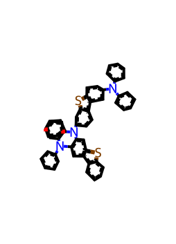 c1ccc(N(c2ccccc2)c2ccc3sc4cc(N(c5ccccc5)c5cc6sc7ccccc7c6cc5N(c5ccccc5)c5ccccc5)ccc4c3c2)cc1